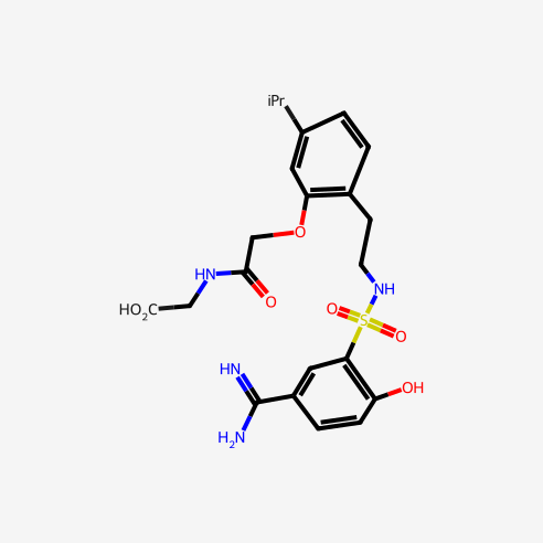 CC(C)c1ccc(CCNS(=O)(=O)c2cc(C(=N)N)ccc2O)c(OCC(=O)NCC(=O)O)c1